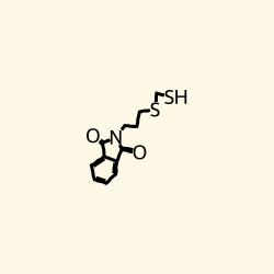 O=C1c2ccccc2C(=O)N1CCCSCS